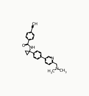 C#Cc1ccc(C(=O)NC2(c3ccc(-c4ccc(CN(C)C)nc4)cc3)CC2)cc1